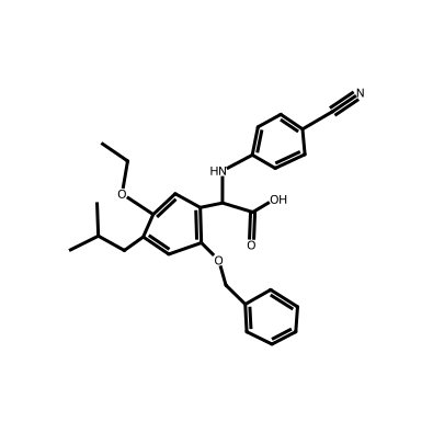 CCOc1cc(C(Nc2ccc(C#N)cc2)C(=O)O)c(OCc2ccccc2)cc1CC(C)C